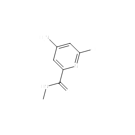 CNC(=O)c1cc(N)cc(Cl)n1